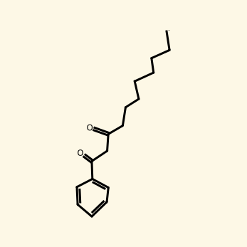 [CH2]CCCCCCCC(=O)CC(=O)c1ccccc1